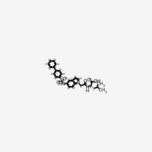 CC(C)C[C@H](NC(=O)Cn1ccc2cc(NS(=O)(=O)c3ccc(-c4ccccc4)cc3)ccc21)C(=O)O